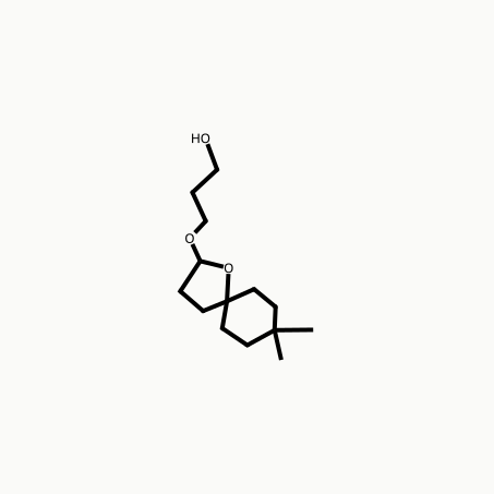 CC1(C)CCC2(CCC(OCCCO)O2)CC1